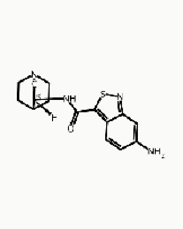 Nc1ccc2c(C(=O)N[C@H]3CN4CCC3CC4)snc2c1